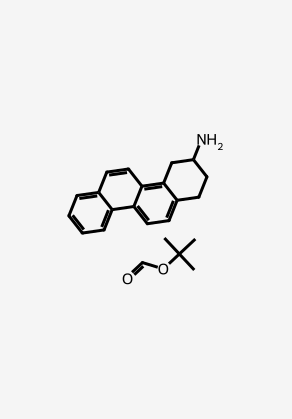 CC(C)(C)OC=O.NC1CCc2ccc3c(ccc4ccccc43)c2C1